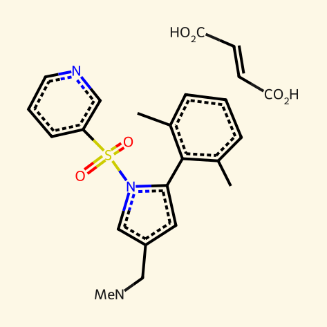 CNCc1cc(-c2c(C)cccc2C)n(S(=O)(=O)c2cccnc2)c1.O=C(O)C=CC(=O)O